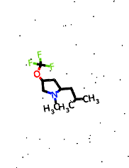 CC(C)CC1CC(OC(F)(F)F)CN1C